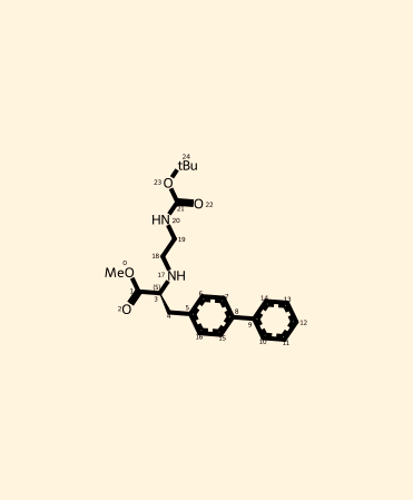 COC(=O)[C@H](Cc1ccc(-c2ccccc2)cc1)NCCNC(=O)OC(C)(C)C